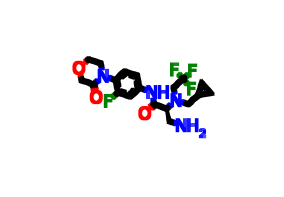 NC[C@@H](C(=O)Nc1ccc(N2CCOCC2=O)c(F)c1)N(CC1CC1)CC(F)(F)F